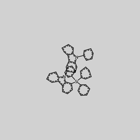 c1ccc(-n2c3ccccc3c3cc(-n4c5ccccc5c5cccc([Si](c6ccccc6)(c6ccccc6)c6ccccc6)c54)ccc32)cc1